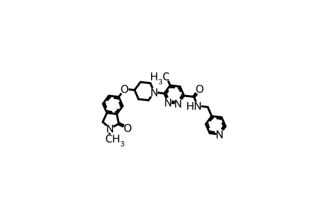 Cc1cc(C(=O)NCc2ccncc2)nnc1N1CCC(Oc2ccc3c(c2)C(=O)N(C)C3)CC1